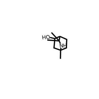 CC12CCC(C(O)C1)C(C)(C)N2